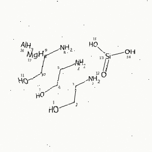 NCCO.NCCO.NCCO.O=[Si](O)O.[AlH3].[MgH2]